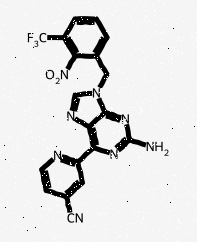 N#Cc1ccnc(-c2nc(N)nc3c2ncn3Cc2cccc(C(F)(F)F)c2[N+](=O)[O-])c1